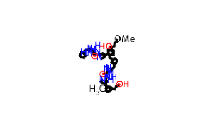 COCCCC(O)c1ccc(Cc2cccc(Cc3nnc(C(=O)Nc4cc(-c5cc(CCCO)ccc5C)ccn4)[nH]3)c2)c(-c2ccnc(NC(=O)c3nnc(Cc4ccccc4)[nH]3)c2)c1